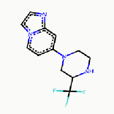 FC(F)(F)C1CN(c2ccn3ccnc3c2)CCN1